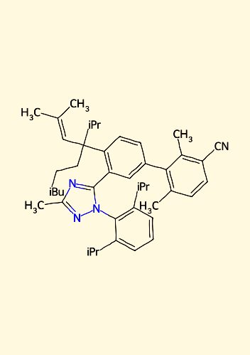 CCC(C)CCC(C=C(C)C)(c1ccc(-c2c(C)ccc(C#N)c2C)cc1-c1nc(C)nn1-c1c(C(C)C)cccc1C(C)C)C(C)C